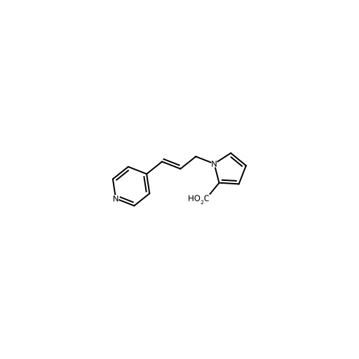 O=C(O)c1cccn1CC=Cc1ccncc1